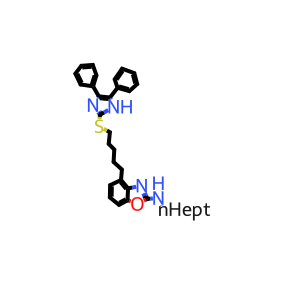 CCCCCCCNc1nc2c(CCCCCSc3nc(-c4ccccc4)c(-c4ccccc4)[nH]3)cccc2o1